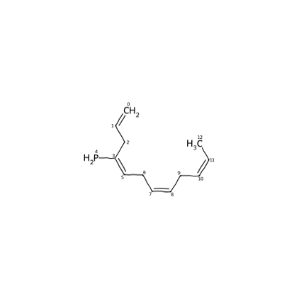 C=CC/C(P)=C\C/C=C\C/C=C\C